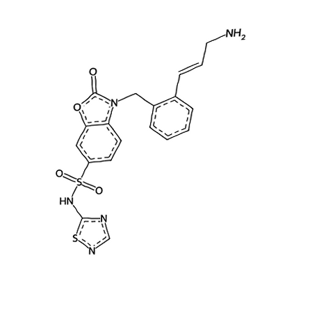 NCC=Cc1ccccc1Cn1c(=O)oc2cc(S(=O)(=O)Nc3ncns3)ccc21